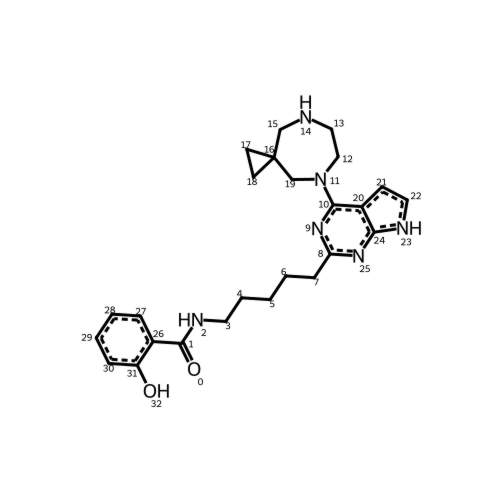 O=C(NCCCCCc1nc(N2CCNCC3(CC3)C2)c2cc[nH]c2n1)c1ccccc1O